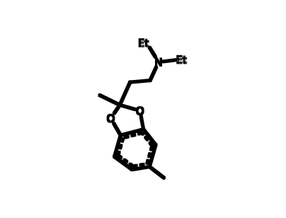 CCN(CC)CCC1(C)Oc2ccc(C)cc2O1